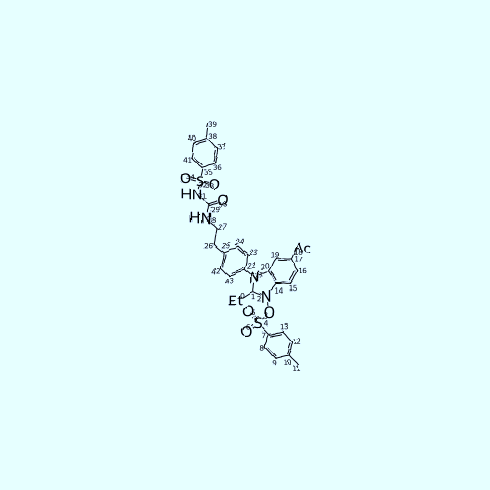 CCC1N(OS(=O)(=O)c2ccc(C)cc2)c2ccc(C(C)=O)cc2N1c1ccc(CCNC(=O)NS(=O)(=O)c2ccc(C)cc2)cc1